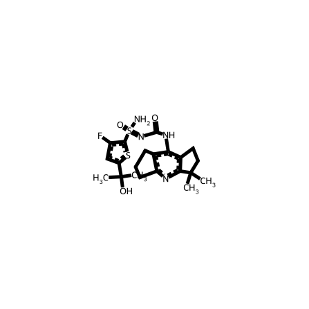 CC(C)(O)c1cc(F)c(S(N)(=O)=NC(=O)Nc2c3c(nc4c2CCC4(C)C)CCC3)s1